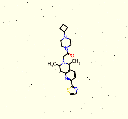 CC1Cc2nc(-c3nccs3)ccc2C(C)N1CC(=O)N1CCN(C2CCC2)CC1